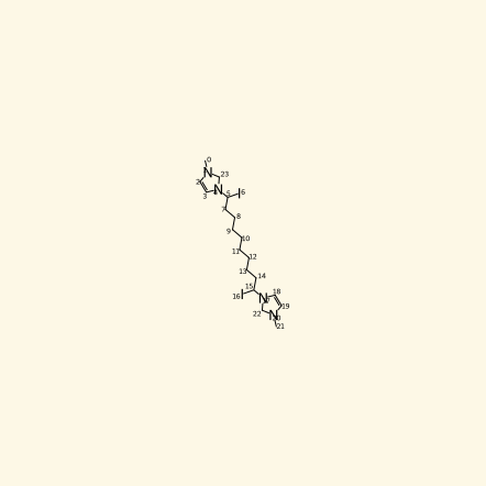 CN1C=CN(C(I)CCCCCCCCC(I)N2C=CN(C)C2)C1